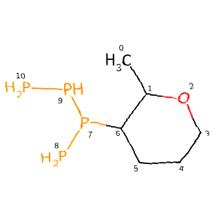 CC1OCCCC1P(P)PP